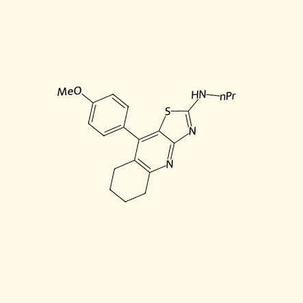 CCCNc1nc2nc3c(c(-c4ccc(OC)cc4)c2s1)CCCC3